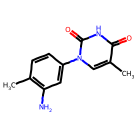 Cc1ccc(-n2cc(C)c(=O)[nH]c2=O)cc1N